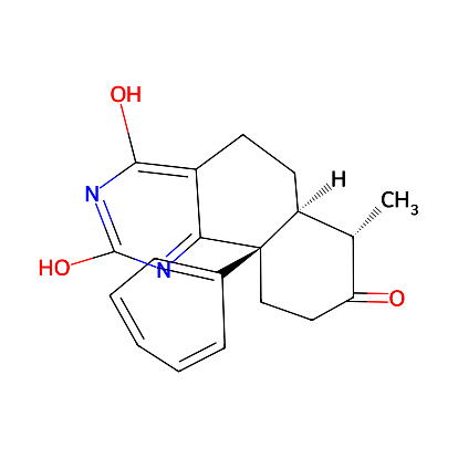 C[C@@H]1C(=O)CC[C@]2(c3ccccc3)c3nc(O)nc(O)c3CC[C@@H]12